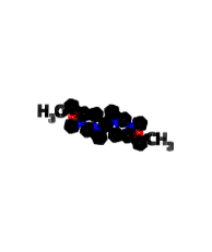 CCc1cccc2c1oc1c(N(c3ccccc3)c3ccc4c5cccc6c7c(-c8ccccc8)c8c(c(-c9ccccc9)c7n(c4c3)c56)c3cccc4c5ccc(N(c6ccccc6)c6cccc7c6oc6c(CC)cccc67)cc5n8c43)cccc12